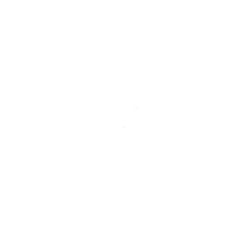 O=C(S)N1CCN(Cc2ccccc2)CC1